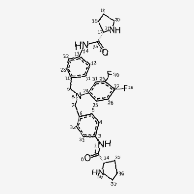 O=C(Nc1ccc(CN(Cc2ccc(NC(=O)[C@@H]3CCCN3)cc2)c2ccc(F)c(F)c2)cc1)[C@@H]1CCCN1